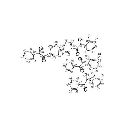 Cc1cccc(C(=O)C(=O)c2ccccc2)c1C.Cc1cccc(C(=O)C(=O)c2ccccc2)c1C.Cc1cccc(C(=O)C(=O)c2ccccc2)c1C.O=C(C(=O)c1ccccc1)c1ccccc1